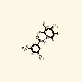 O=C(Oc1c(F)c(F)c(C(F)(F)F)c(F)c1F)c1cc(C(F)(F)F)cc(C(F)(F)F)c1